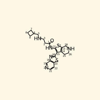 O=C(CCNCC1CCC1)Nc1sc2c(c1-c1nc3cnccc3s1)CCNC2